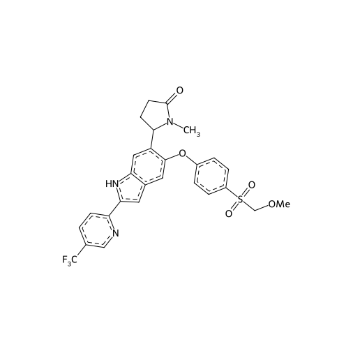 COCS(=O)(=O)c1ccc(Oc2cc3cc(-c4ccc(C(F)(F)F)cn4)[nH]c3cc2C2CCC(=O)N2C)cc1